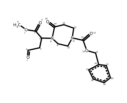 COC(=O)C(CC=O)N1CCN(C(=O)OCc2ccccc2)CCC1=O